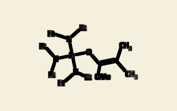 CC[N](CC)[Zr]([O]C(OC)=C(C)C)([N](CC)CC)[N](CC)CC